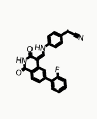 N#CCc1ccc(NC=C2C(=O)NC(=O)c3ccc(-c4ccccc4F)cc32)cc1